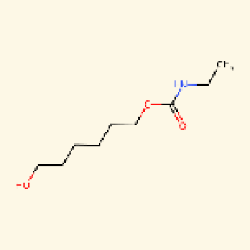 CCNC(=O)OCCCCCCO